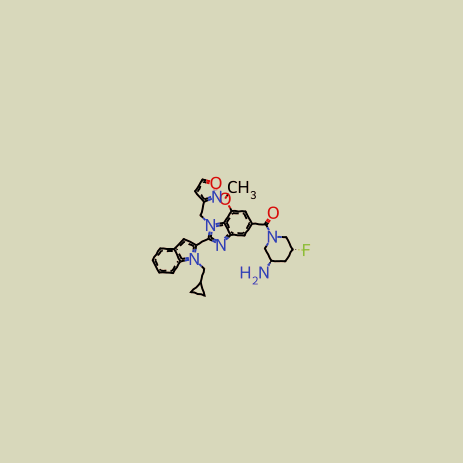 COc1cc(C(=O)N2C[C@H](N)C[C@@H](F)C2)cc2nc(-c3cc4ccccc4n3CC3CC3)n(Cc3ccon3)c12